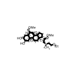 CCOCCN(C)C/C(=N/OC)[C@H]1CC[C@@]2(O)C3=C/C(=N\OC)[C@@H]4C[C@@H](O)[C@@H](O)C[C@]4(C)C3CC[C@]12C